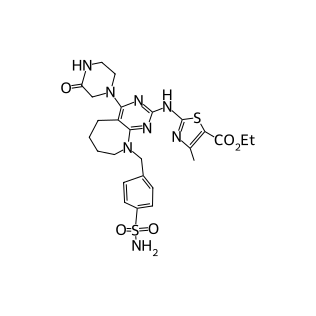 CCOC(=O)c1sc(Nc2nc(N3CCNC(=O)C3)c3c(n2)N(Cc2ccc(S(N)(=O)=O)cc2)CCCC3)nc1C